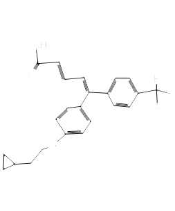 O=C(O)/C=C/C=C(\c1ccc(OCCC2CC2)cc1)c1ccc(C(F)(F)F)cc1